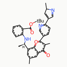 Cc1cc([C@@H](C)Nc2ccccc2C(=O)OC(C)(C)C)c2oc(-c3ccc(C4=CC(C)N=C4)nc3)c(C)c(=O)c2c1